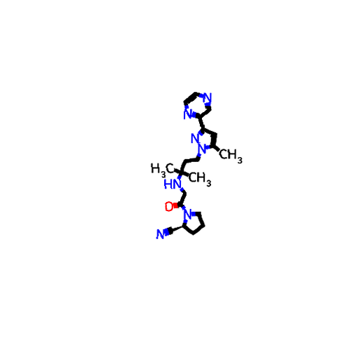 Cc1cc(-c2cnccn2)nn1CCC(C)(C)NCC(=O)N1CCC[C@H]1C#N